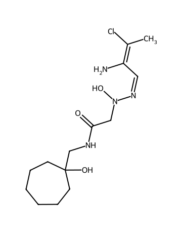 C/C(Cl)=C(N)\C=N/N(O)CC(=O)NCC1(O)CCCCCC1